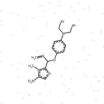 C=NC(Oc1ccc(N(CC(C)C)CC(C)C)cc1)c1ncc([N+](=O)[O-])n1C